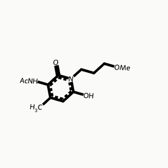 COCCCn1c(O)cc(C)c(NC(C)=O)c1=O